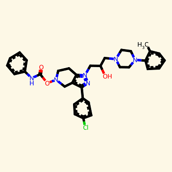 Cc1ccccc1N1CCN(CC(O)Cn2nc(-c3ccc(Cl)cc3)c3c2CCN(OC(=O)Nc2ccccc2)C3)CC1